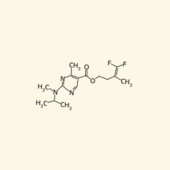 CC(CCOC(=O)c1cnc(N(C)C(C)C)nc1C)=C(F)F